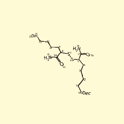 CCCCCCCCCCCCCCC(SSC(CCCCCCCCCCCCCC)C(N)=O)C(N)=O